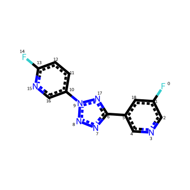 Fc1cncc(-c2nnn(-c3ccc(F)nc3)n2)c1